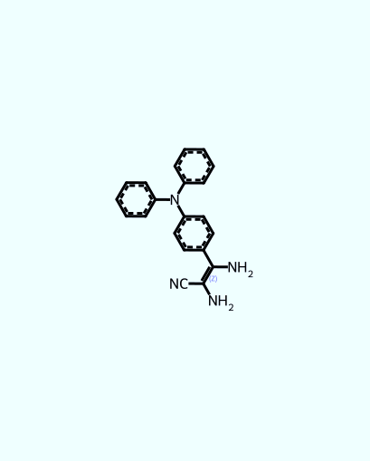 N#C/C(N)=C(/N)c1ccc(N(c2ccccc2)c2ccccc2)cc1